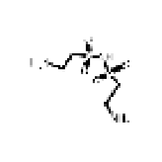 NCCS(=O)(=O)NS(=O)(=O)CCN